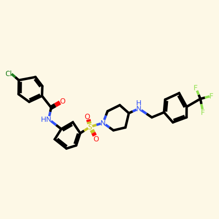 O=C(Nc1cccc(S(=O)(=O)N2CCC(NCc3ccc(C(F)(F)F)cc3)CC2)c1)c1ccc(Cl)cc1